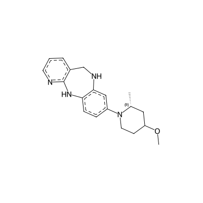 COC1CCN(c2ccc3c(c2)NCc2cccnc2N3)[C@H](C)C1